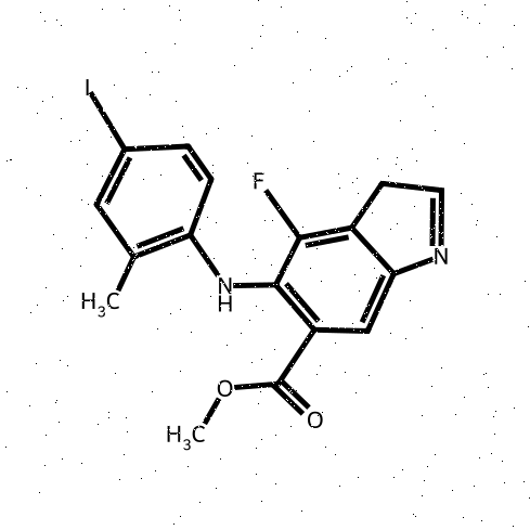 COC(=O)c1cc2c(c(F)c1Nc1ccc(I)cc1C)CC=N2